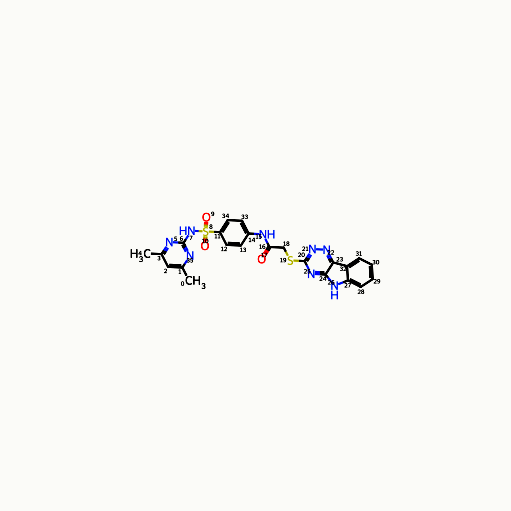 Cc1cc(C)nc(NS(=O)(=O)c2ccc(NC(=O)CSc3nnc4c(n3)[nH]c3ccccc34)cc2)n1